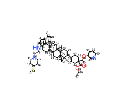 C=C(C)[C@@H]1CC[C@]2(NCCN3CCC(SC)CC3)CC[C@]3(C)[C@H](CC[C@@H]4[C@@]5(C)CC=C(C6=CCC(COc7cccnc7)(C(=O)OCC)CC6)C(C)(C)[C@@H]5CC[C@]43C)[C@@H]12